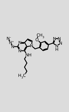 CCCCCNc1nc(N=[N+]=[N-])nc2ccn(Cc3ccc(-c4nnn[nH]4)cc3OC)c12